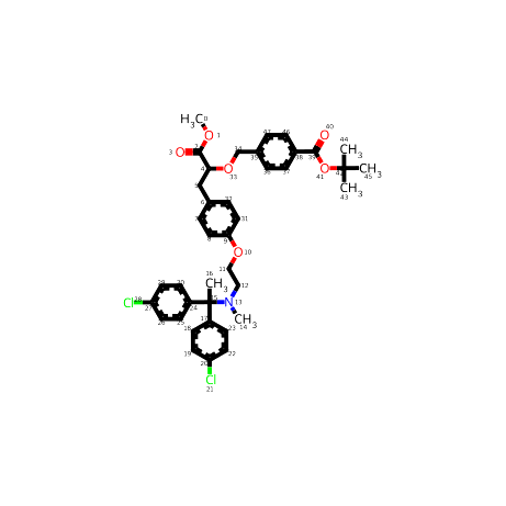 COC(=O)C(Cc1ccc(OCCN(C)C(C)(c2ccc(Cl)cc2)c2ccc(Cl)cc2)cc1)OCc1ccc(C(=O)OC(C)(C)C)cc1